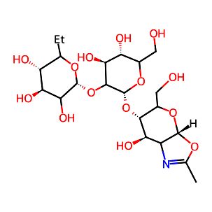 CCC1O[C@H](OC2[C@@H](O[C@@H]3C(CO)O[C@@H]4OC(C)=NC4[C@H]3O)OC(CO)[C@@H](O)[C@@H]2O)C(O)[C@@H](O)[C@@H]1O